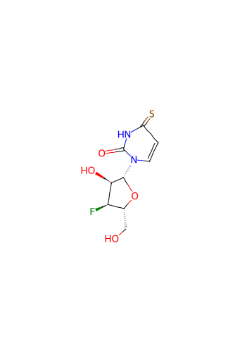 O=c1[nH]c(=S)ccn1[C@@H]1O[C@H](CO)[C@@H](F)[C@H]1O